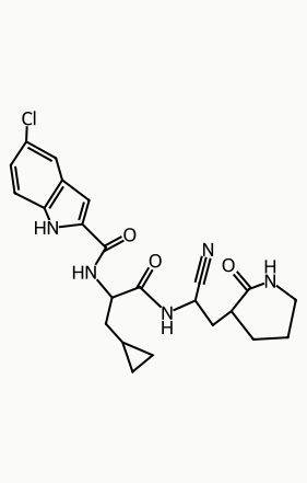 N#CC(CC1CCCNC1=O)NC(=O)C(CC1CC1)NC(=O)c1cc2cc(Cl)ccc2[nH]1